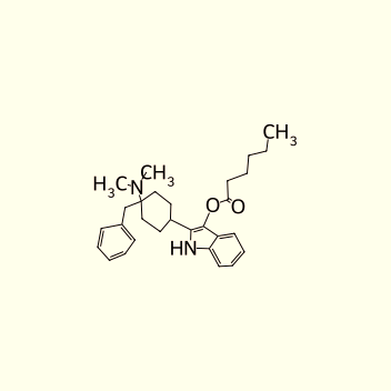 CCCCCC(=O)Oc1c(C2CCC(Cc3ccccc3)(N(C)C)CC2)[nH]c2ccccc12